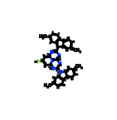 Cc1ccc2c(c1)C(C1=NC3=CC(F)=CC4=NC(n5c6cc(C)ccc6c6ccc(C)cc65)=NC(=N1)N34)c1cc(C)ccc1-2